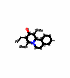 COc1c(=O)c(CC(C)C)c(OC)n2ccc3ccccc3c12